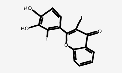 O=c1c(I)c(-c2ccc(O)c(O)c2I)oc2ccccc12